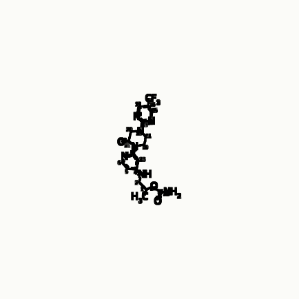 C[C@@H](CNc1ccnc(N2CCN(c3ncc(C(F)(F)F)cn3)CC2=O)c1)OC(N)=O